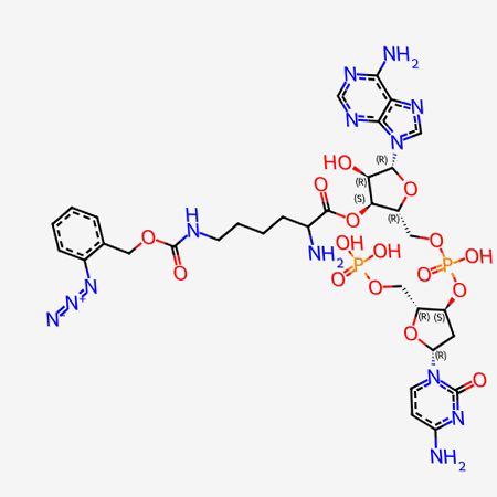 [N-]=[N+]=Nc1ccccc1COC(=O)NCCCCC(N)C(=O)O[C@H]1[C@@H](O)[C@H](n2cnc3c(N)ncnc32)O[C@@H]1COP(=O)(O)O[C@H]1C[C@H](n2ccc(N)nc2=O)O[C@@H]1COP(=O)(O)O